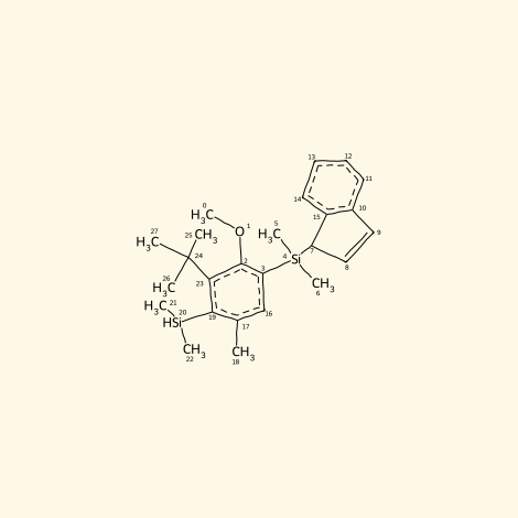 COc1c([Si](C)(C)C2C=Cc3ccccc32)cc(C)c([SiH](C)C)c1C(C)(C)C